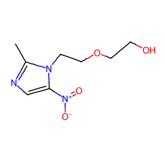 Cc1ncc([N+](=O)[O-])n1CCOCCO